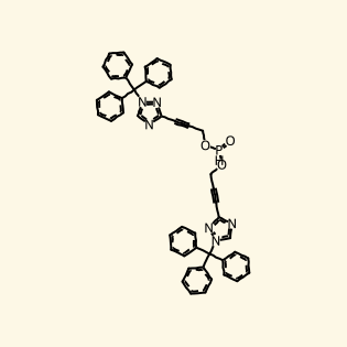 O=[PH](OCC#Cc1ncn(C(c2ccccc2)(c2ccccc2)c2ccccc2)n1)OCC#Cc1ncn(C(c2ccccc2)(c2ccccc2)c2ccccc2)n1